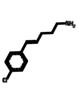 NCCCC=Cc1ccc(Cl)cc1